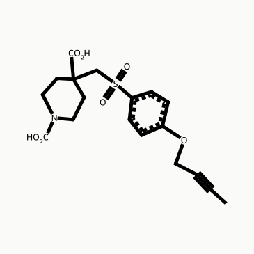 CC#CCOc1ccc(S(=O)(=O)CC2(C(=O)O)CCN(C(=O)O)CC2)cc1